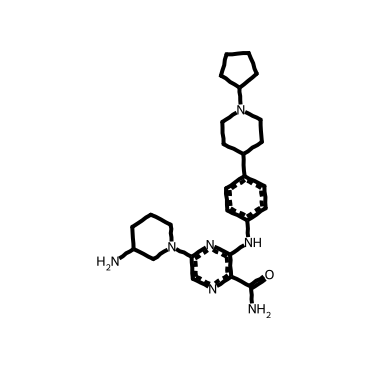 NC(=O)c1ncc(N2CCCC(N)C2)nc1Nc1ccc(C2CCN(C3CCCC3)CC2)cc1